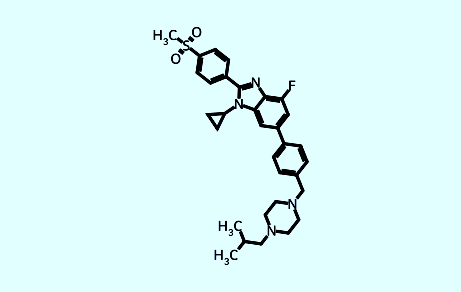 CC(C)CN1CCN(Cc2ccc(-c3cc(F)c4nc(-c5ccc(S(C)(=O)=O)cc5)n(C5CC5)c4c3)cc2)CC1